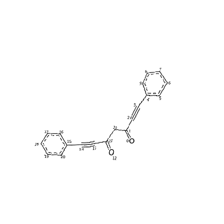 O=C(C#Cc1ccccc1)CC(=O)C#Cc1ccccc1